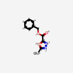 CC(C)(C)c1nnc(C(=O)OCc2ccccc2)o1